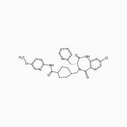 COc1ccc(NC(=O)C2CCC(CN3C(=O)c4ccc(Cl)cc4NC(=O)[C@H]3Cc3ccccn3)CC2)nc1